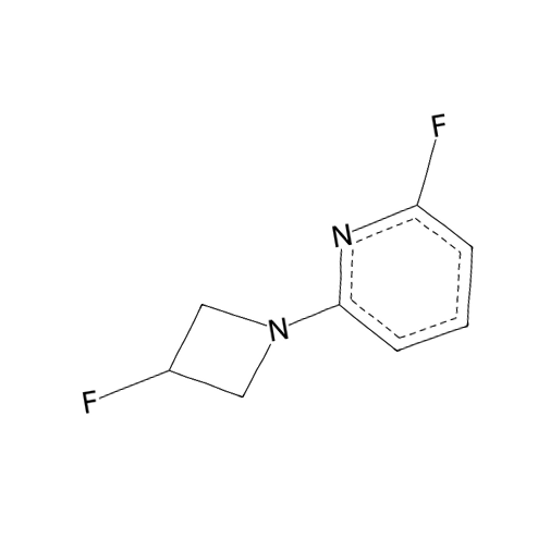 Fc1cccc(N2CC(F)C2)n1